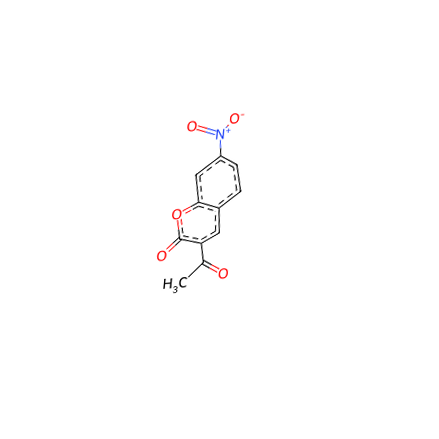 CC(=O)c1cc2ccc([N+](=O)[O-])cc2oc1=O